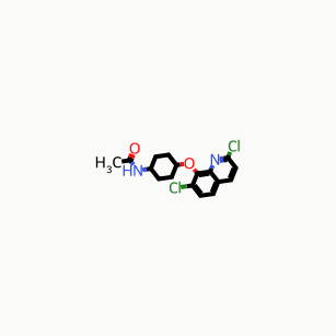 CC(=O)NC1CCC(Oc2c(Cl)ccc3ccc(Cl)nc23)CC1